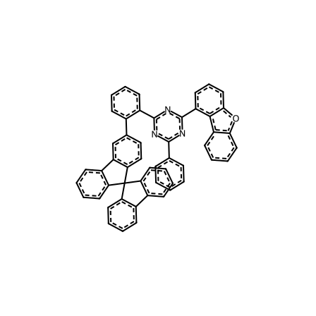 c1ccc(-c2nc(-c3ccccc3-c3ccc4c(c3)-c3ccccc3C43c4ccccc4-c4ccccc43)nc(-c3cccc4oc5ccccc5c34)n2)cc1